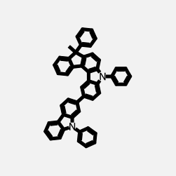 CC1(c2ccccc2)c2ccccc2-c2c1ccc1c2c2cc(-c3ccc4c5ccccc5n(-c5ccccc5)c4c3)ccc2n1-c1ccccc1